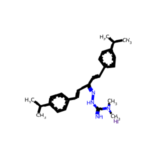 CC(C)c1ccc(C=CC(C=Cc2ccc(C(C)C)cc2)=NNC(=N)N(C)C)cc1.I